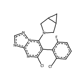 Fc1cccc(Cl)c1-c1c(Cl)nc2ncnn2c1N1CC2CC2C1